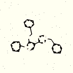 c1ccc(CSc2c(-c3nnn(Cc4ccccc4)n3)cnn2-c2ccccc2)cc1